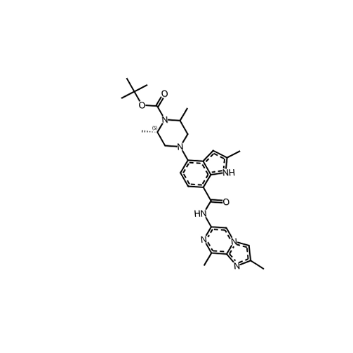 Cc1cn2cc(NC(=O)c3ccc(N4CC(C)N(C(=O)OC(C)(C)C)[C@@H](C)C4)c4cc(C)[nH]c34)nc(C)c2n1